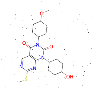 COC1CCC(n2c(=O)c3cnc(SC)nc3n(C3CCC(O)CC3)c2=O)CC1